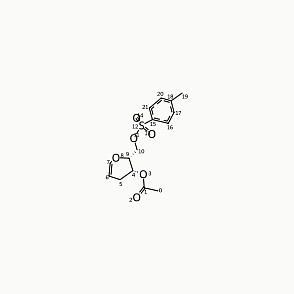 CC(=O)O[C@@H]1CC=CO[C@@H]1COS(=O)(=O)c1ccc(C)cc1